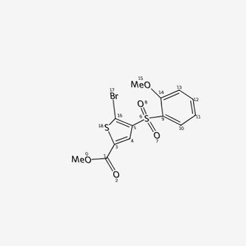 COC(=O)c1cc(S(=O)(=O)c2ccccc2OC)c(Br)s1